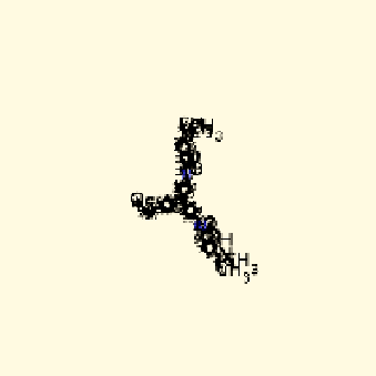 CCC(NC)c1ccc2cc(/C=C/c3ccc(N(c4ccc(/C=C/c5cc6ccc(N(CC)CC)cc6oc5=O)cc4)c4ccc(-c5ccc(C=O)s5)cc4)cc3)c(=O)oc2c1